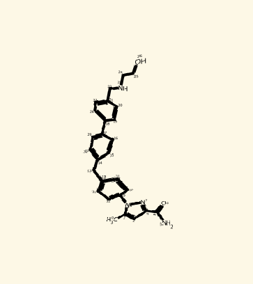 Cc1cc(C(N)=O)nn1-c1ccc(Cc2ccc(-c3ccc(CNCCO)cc3)cc2)cc1